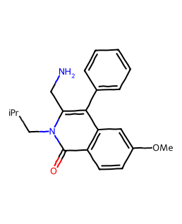 COc1ccc2c(=O)n(CC(C)C)c(CN)c(-c3ccccc3)c2c1